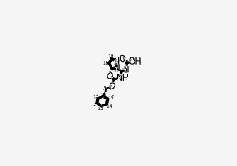 O=C(O)N=C(NC(=O)OCc1ccccc1)n1cccn1